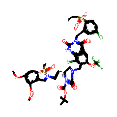 CCS(=O)(=O)c1ccc(Cl)cc1Cn1c(=O)[nH]c2c(Cl)c(CN3C[C@@H](CCN(Cc4ccc(OC)cc4OC)S(C)(=O)=O)N(C(=O)OC(C)(C)C)C3=O)c(OC(F)(F)F)cc2c1=O